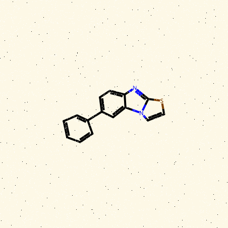 c1ccc(-c2ccc3nc4sccn4c3c2)cc1